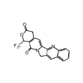 O=C1Cc2cc3n(c(=O)c2C(C(F)(F)F)O1)Cc1cc2ccccc2nc1-3